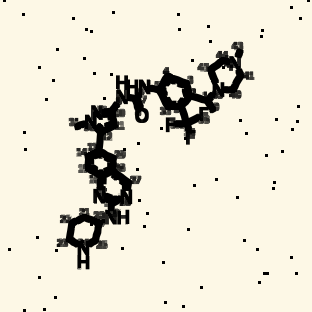 CC(c1ccc(NC(=O)Nc2cc(-c3ccc4nc(N[C@H]5CCCNC5)ncc4c3)n(C)n2)cc1C(F)(F)F)N1CCN(C)CC1